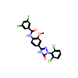 COc1cc(-c2nn(-c3c(Cl)cccc3Cl)c(=O)[nH]2)ccc1NC(=O)c1cc(F)cc(F)c1